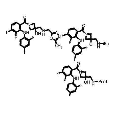 CCC(C)NCC1(O)CN(C(=O)c2ccc(F)c(F)c2Nc2ccc(I)cc2F)C1.CCCC(C)NCC1(O)CN(C(=O)c2ccc(F)c(F)c2Nc2ccc(I)cc2F)C1.Cc1nnc(CNCC2(O)CN(C(=O)c3ccc(F)c(F)c3Nc3ccc(I)cc3F)C2)o1